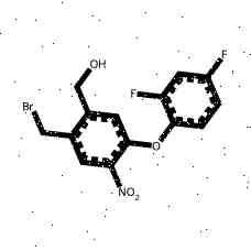 O=[N+]([O-])c1cc(CBr)c(CO)cc1Oc1ccc(F)cc1F